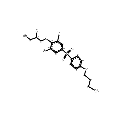 CCCCOc1ccc(S(=O)(=O)c2cc(Cl)c(OCC(O)CO)c(Cl)c2)cc1